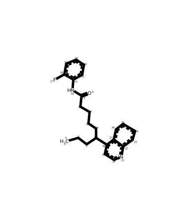 CCCC(CCCCC(=O)Nc1ccccc1F)c1ccnc2ccccc12